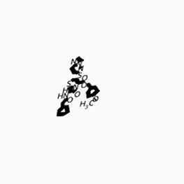 COc1ccc(COC(=O)C2=C(Sc3ccc4nccn4n3)CS[C@@H]3[C@H](NC(=O)Cc4ccccc4)C(=O)N23)cc1